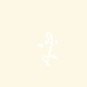 Cl.NC(CCCCN1C(=O)c2ccccc2C1=O)c1cccc(Br)c1